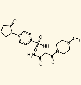 CN1CCN(C(=O)[C@@H](NS(=O)(=O)c2ccc(N3CCCC3=O)cc2)C(N)=O)CC1